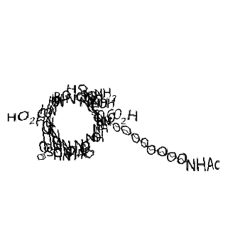 CC(=O)NCCOCCOCCOCCOCCOCCOCCOCCOCCC(=O)N[C@@H](CC(=O)O)C(=O)N[C@H]1CSSC[C@@H](C(=O)NC(C(N)=O)C(C)O)NC(=O)[C@H](Cc2c[nH]c3ccccc23)NC(=O)C(C(C)C)NC(=O)[C@H](CC(C)C)NC(=O)[C@H](CCC(=O)O)NC(=O)CNC(=O)[C@H](CNC(=O)CSC(=O)C2CC3C=CC2C3)NC(=O)[C@H](Cc2c[nH]cn2)NC(=O)[C@H](Cc2c[nH]c3ccccc23)NC(=O)[C@H](C)NC1=O